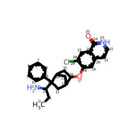 CCC(N)C1(c2ccccc2)CC2CC1CC2Oc1cc2cc[nH]c(=O)c2cc1Cl